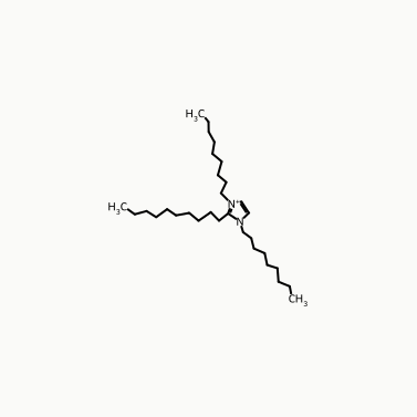 CCCCCCCCCCc1n(CCCCCCCCC)cc[n+]1CCCCCCCCC